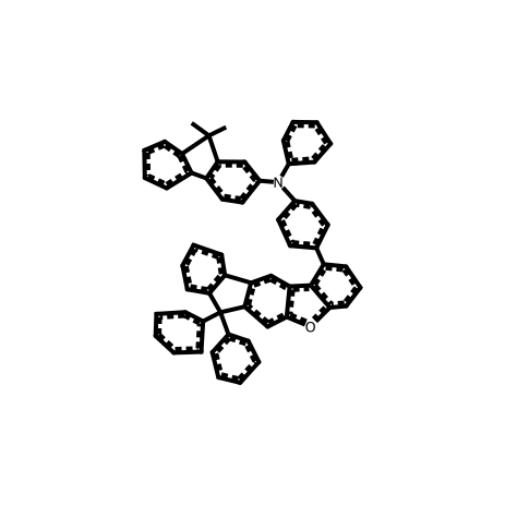 CC1(C)c2ccccc2-c2ccc(N(c3ccccc3)c3ccc(-c4cccc5oc6cc7c(cc6c45)-c4ccccc4C7(c4ccccc4)c4ccccc4)cc3)cc21